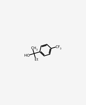 CCC(C)(O)c1ccc(C(F)(F)F)cc1